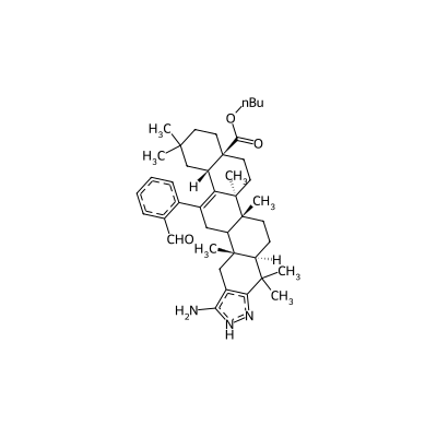 CCCCOC(=O)[C@]12CCC(C)(C)C[C@H]1C1=C(c3ccccc3C=O)CC3[C@@]4(C)Cc5c(n[nH]c5N)C(C)(C)[C@@H]4CC[C@@]3(C)[C@]1(C)CC2